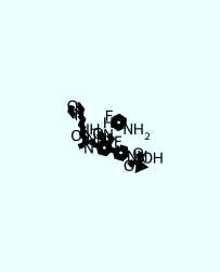 Cc1nc(-c2ccc(-c3ccc(NC(=O)C4(C(=O)O)CC4)cc3F)c3c2C(=O)NC3)[nH]c1C(=O)NCCN1CCOCC1.Nc1ccc(F)cc1